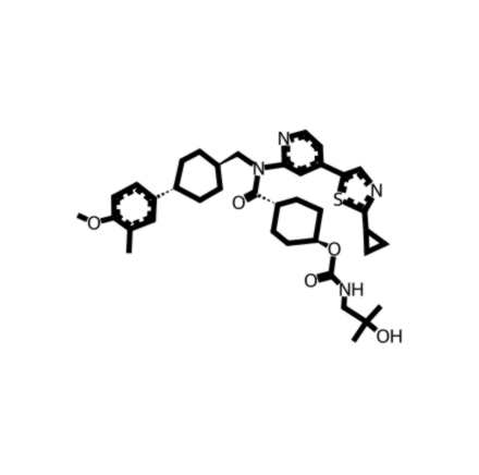 COc1ccc([C@H]2CC[C@H](CN(c3cc(-c4cnc(C5CC5)s4)ccn3)C(=O)[C@H]3CC[C@H](OC(=O)NCC(C)(C)O)CC3)CC2)cc1C